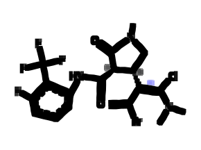 C=C(Br)/C(=C(/Cl)N(C)C)[C@H]1CN(C)C(=O)[C@@H]1C(=O)Nc1cccc(F)c1C(F)(F)F